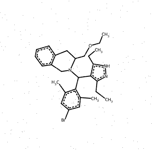 CCOCC1Cc2ccccc2CN1C(c1c(C)cc(Br)cc1C)c1c(CC)n[nH]c1CC